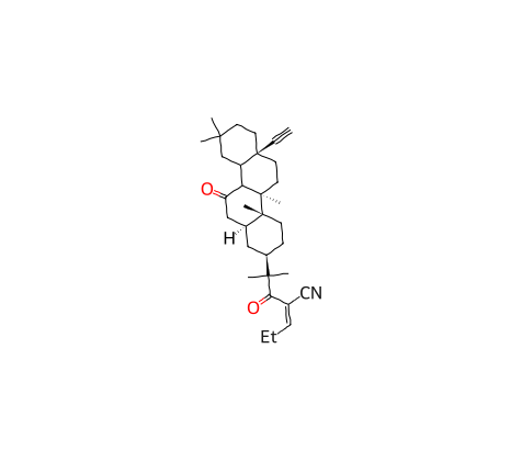 C#C[C@]12CCC(C)(C)CC1C1C(=O)C[C@@H]3C[C@H](C(C)(C)C(=O)/C(C#N)=C\CC)CC[C@@]3(C)[C@]1(C)CC2